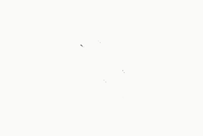 CCN[C@H](C)Cc1nc(C2CC2)no1